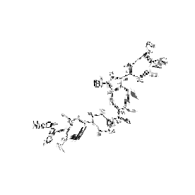 COC(=O)c1c(C)cc(C2CCN(C(=O)c3ccc4c(-c5ccc(Cl)c(F)c5)cn(C(C)(C)C)c4n3)CC2)nc1C